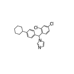 Clc1ccc(C(c2ccc(C3CCCCC3)cc2)n2ccnc2)c(Cl)c1